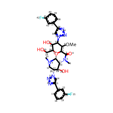 COC1C(C(=O)N(C)[C@H]2CN(C)C[C@@H](n3cc(-c4cccc(F)c4)nn3)[C@@H]2O)OC(CO)C(O)C1n1cc(-c2cccc(F)c2)nn1